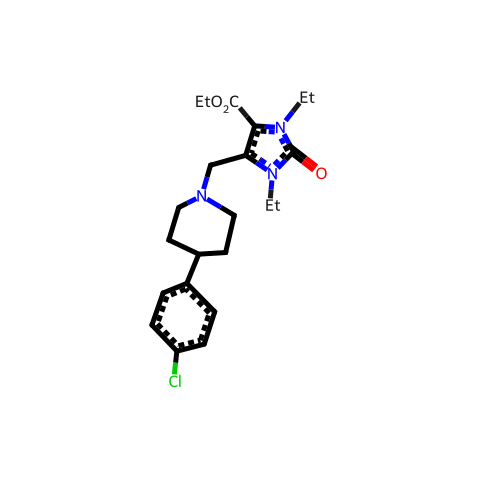 CCOC(=O)c1c(CN2CCC(c3ccc(Cl)cc3)CC2)n(CC)c(=O)n1CC